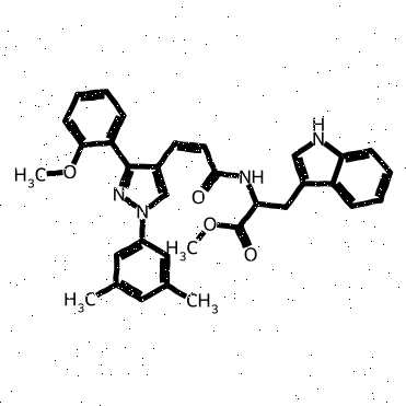 COC(=O)C(Cc1c[nH]c2ccccc12)NC(=O)/C=C\c1cn(-c2cc(C)cc(C)c2)nc1-c1ccccc1OC